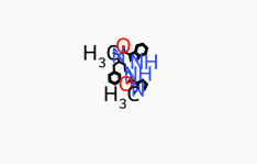 CN(C(=O)c1c[nH]c2ccccc12)C(CCNC(=O)c1cccn1C)Cc1ccccc1